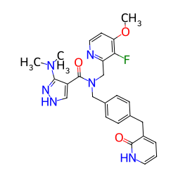 COc1ccnc(CN(Cc2ccc(Cc3ccc[nH]c3=O)cc2)C(=O)c2c[nH]nc2N(C)C)c1F